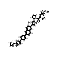 COC(=O)C[C@H](C(=O)N1CCC[C@H]1c1ncc(-c2ccc3cc(-c4ccc(-c5cnc([C@H]6NCCS6)[nH]5)cc4)ccc3c2)[nH]1)C(C)C